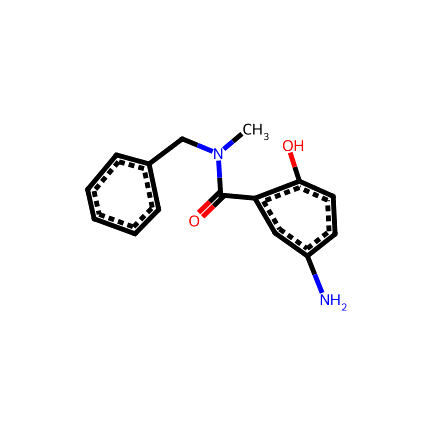 CN(Cc1ccccc1)C(=O)c1cc(N)ccc1O